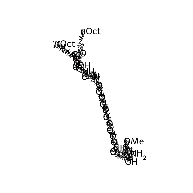 CCCCCCCCC=CCCCCCCCC(=O)OCC(COP(=O)(O)OCCNC(=O)CCc1cn(CCOCCOCCOCCOCCOCCOCCOCCOCCOCCOCCNC(=O)c2ccc(Cn3c(O)nc4c(N)nc(OCCOC)nc43)cc2)nn1)OC(=O)CCCCCCCC=CCCCCCCCC